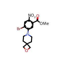 COC(=O)c1cc(N2CCC3(CC2)COC3)c(Br)cc1[N+](=O)[O-]